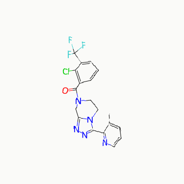 Cc1cccnc1-c1nnc2n1CCN(C(=O)c1cccc(C(F)(F)F)c1Cl)C2